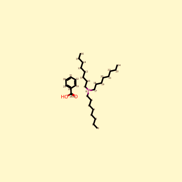 CCCCCCCCP(CCCCCCCC)CCCCCCCC.O=C(O)c1ccccc1